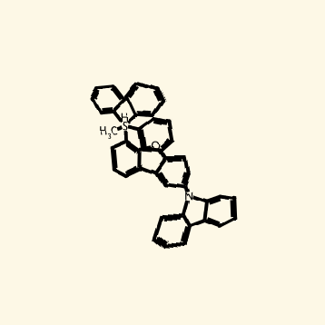 C[SH](c1ccccc1)(c1ccccc1)(c1ccccc1)c1cccc2c1oc1ccc(-n3c4ccccc4c4ccccc43)cc12